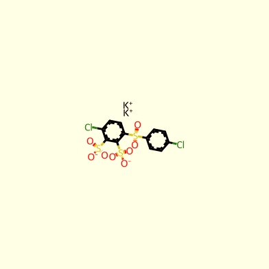 O=S(=O)([O-])c1c(Cl)ccc(S(=O)(=O)c2ccc(Cl)cc2)c1S(=O)(=O)[O-].[K+].[K+]